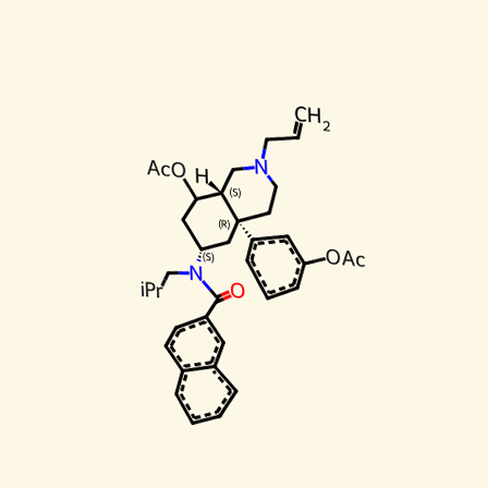 C=CCN1CC[C@@]2(c3cccc(OC(C)=O)c3)C[C@H](N(CC(C)C)C(=O)c3ccc4ccccc4c3)CC(OC(C)=O)[C@@H]2C1